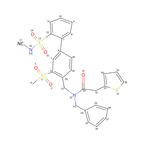 CS(=O)(=O)c1cc(-c2ccccc2S(=O)(=O)NC#N)ccc1CN(Cc1ccccc1)C(=O)Cc1cccs1